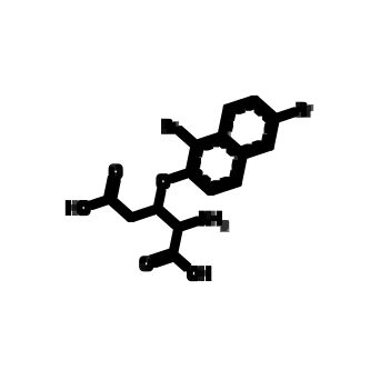 NC(C(=O)O)C(CC(=O)O)Oc1ccc2cc(Br)ccc2c1Br